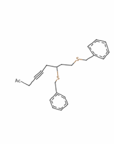 CC(=O)CC#CCC(CCSCc1ccccc1)SCc1ccccc1